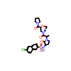 CC(C(=O)N1CCOC(C(=O)N2CCCC2)C1)N1CCC(NS(=O)(=O)c2ccc3cc(Cl)ccc3c2)C1=O